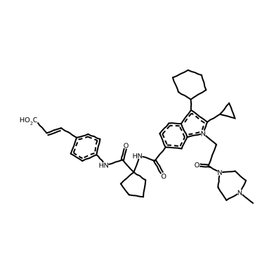 CN1CCN(C(=O)Cn2c(C3CC3)c(C3CCCCC3)c3ccc(C(=O)NC4(C(=O)Nc5ccc(/C=C/C(=O)O)cc5)CCCC4)cc32)CC1